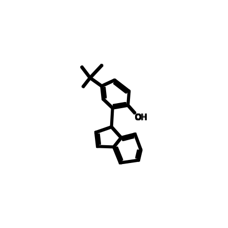 CC(C)(C)c1ccc(O)c(C2C=Cc3ccccc32)c1